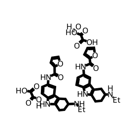 CCNC1CCc2[nH]c3ccc(NC(=O)c4ccco4)cc3c2C1.CCNC1CCc2[nH]c3ccc(NC(=O)c4ccco4)cc3c2C1.O.O=C(O)C(=O)O.O=C(O)C(=O)O